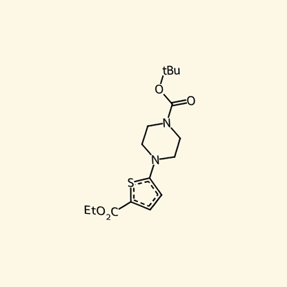 CCOC(=O)c1ccc(N2CCN(C(=O)OC(C)(C)C)CC2)s1